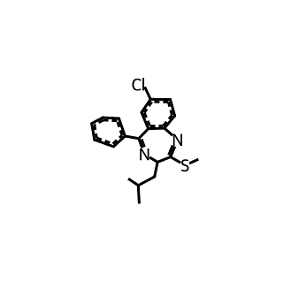 CSC1=Nc2ccc(Cl)cc2C(c2ccccc2)=NC1CC(C)C